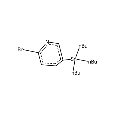 CCC[CH2][Sn]([CH2]CCC)([CH2]CCC)[c]1ccc(Br)nc1